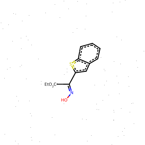 CCOC(=O)C(=NO)c1cc2ccccc2s1